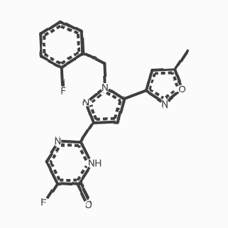 Cc1cc(-c2cc(-c3ncc(F)c(=O)[nH]3)nn2Cc2ccccc2F)no1